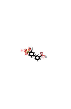 [2H]c1cc(-c2cccc(C(=O)OC)c2)ccc1S(=O)(=O)O